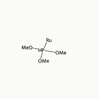 CO[PH]([Ru])(OC)OC